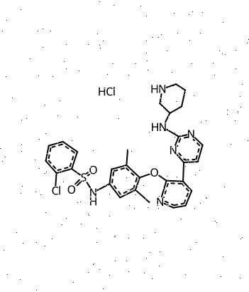 Cc1cc(NS(=O)(=O)c2ccccc2Cl)cc(C)c1Oc1ncccc1-c1ccnc(NC2CCCNC2)n1.Cl